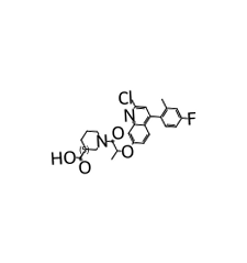 Cc1cc(F)ccc1-c1cc(Cl)nc2cc(OC(C)C(=O)N3CCC[C@H](C(=O)O)C3)ccc12